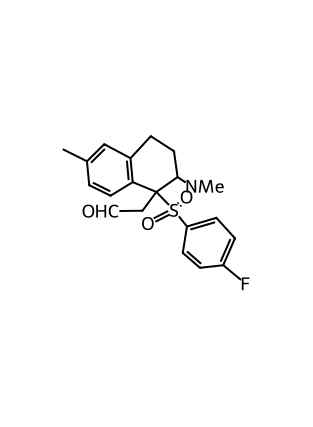 CNC1CCc2cc(C)ccc2C1(CC=O)S(=O)(=O)c1ccc(F)cc1